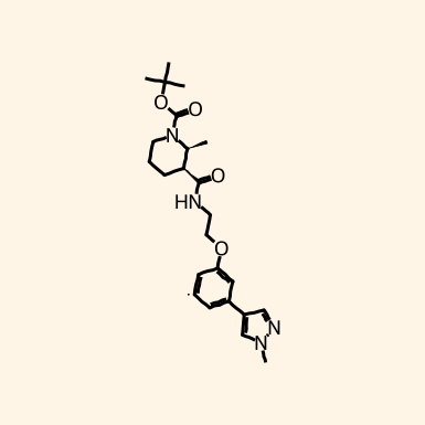 C[C@H]1[C@@H](C(=O)NCCOc2c[c]cc(-c3cnn(C)c3)c2)CCCN1C(=O)OC(C)(C)C